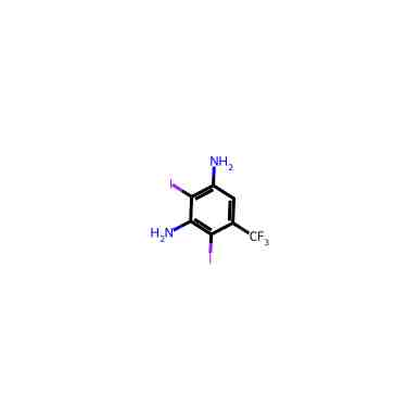 Nc1cc(C(F)(F)F)c(I)c(N)c1I